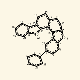 c1ccc(-c2ccc3oc4ccc5ccc6c7ccccc7oc6c5c4c3c2)cc1